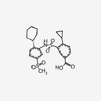 CS(=O)(=O)c1ccc(C2CCCCC2)c(NS(=O)(=O)c2cc(C(=O)O)ccc2C2CC2)c1